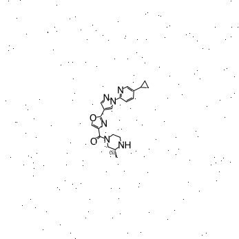 C[C@H]1CN(C(=O)c2coc(-c3cnn(-c4ccc(C5CC5)cn4)c3)n2)CCN1